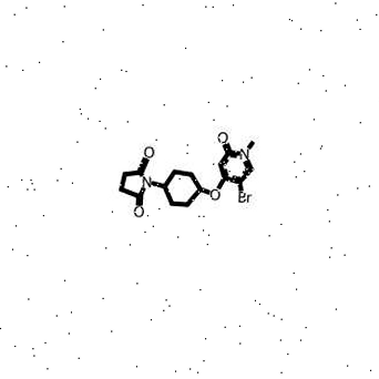 Cn1cc(Br)c(OC2CCC(N3C(=O)CCC3=O)CC2)cc1=O